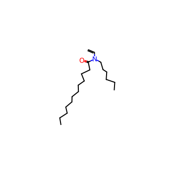 C=CN(CCCCCC)C(=O)CCCCCCCCCCC